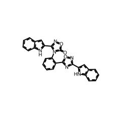 O=c1onc(-c2cc3ccccc3[nH]2)n1-c1ccccc1-c1nc(-c2cc3ccccc3[nH]2)no1